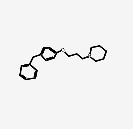 c1ccc(Cc2ccc(OCCCN3CCCCC3)cc2)cc1